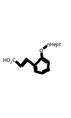 CCCCCCCOc1ccccc1C=CC(=O)O